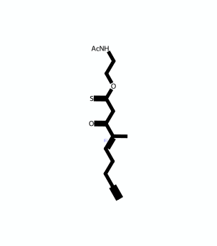 C#CCC/C=C(\C)C(=O)CC(=S)OCCNC(C)=O